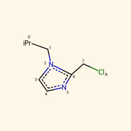 CC(C)Cn1ccnc1CCl